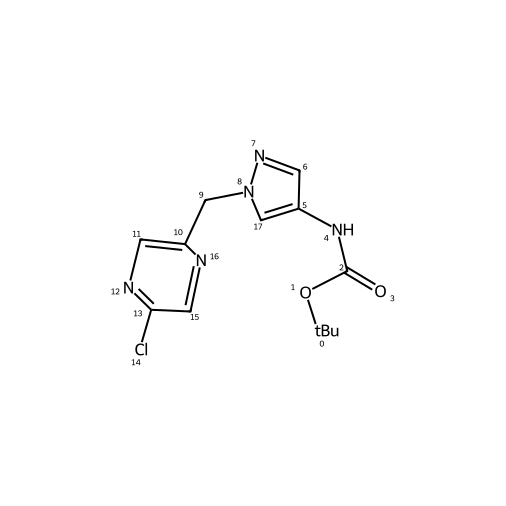 CC(C)(C)OC(=O)Nc1cnn(Cc2cnc(Cl)cn2)c1